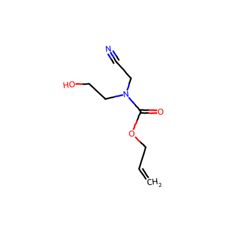 C=CCOC(=O)N(CC#N)CCO